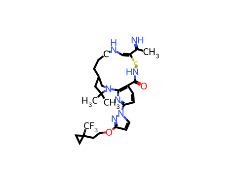 CC(=N)/C1=C\NCCCC2CN(c3nc(-n4ccc(OCCC5(C(F)(F)F)CC5)n4)ccc3C(=O)NS1)C(C)(C)C2